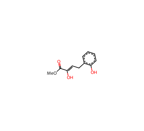 COC(=O)C(O)=CCc1ccccc1O